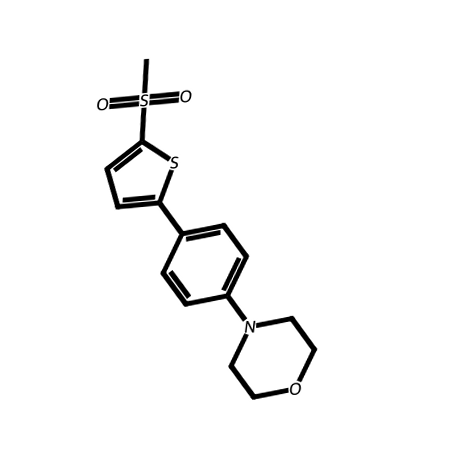 CS(=O)(=O)c1ccc(-c2ccc(N3CCOCC3)cc2)s1